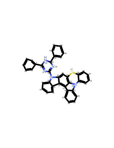 c1ccc(C2=NC(n3c4ccccc4c4c5c6ccccc6n6c5c(cc43)Sc3ccccc3-6)=NC(c3ccccc3)N2)cc1